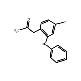 CC(=O)Cc1ccc(Cl)cc1Nc1ccccc1